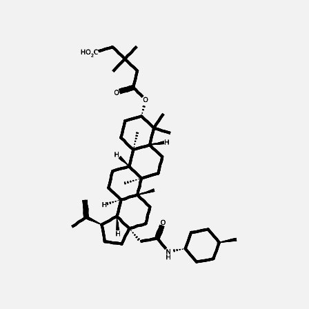 C=C(C)[C@@H]1CC[C@]2(CC(=O)N[C@H]3CC[C@H](C)CC3)CC[C@]3(C)[C@H](CC[C@@H]4[C@@]5(C)CC[C@H](OC(=O)CC(C)(C)CC(=O)O)C(C)(C)[C@@H]5CC[C@]43C)[C@@H]12